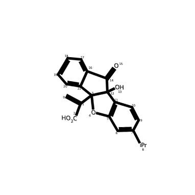 C=C(C(=O)O)C12Oc3cc(C(C)C)ccc3C1(O)C(=O)c1ccccc12